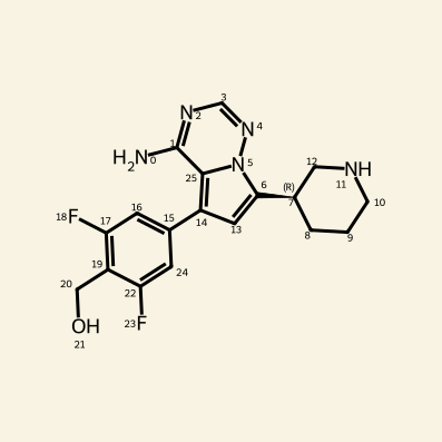 Nc1ncnn2c([C@@H]3CCCNC3)cc(-c3cc(F)c(CO)c(F)c3)c12